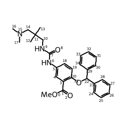 COC(=O)c1cc(NC(=O)NCC(C)(C)CN(C)C)ccc1OC(c1ccccc1)c1ccccc1